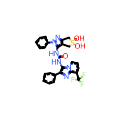 O=C(Nc1c2c(nn1-c1ccccc1)CS(O)(O)C2)Nc1c(-c2ccccc2)nc2c(C(F)(F)F)cccn12